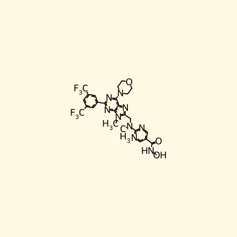 CN(Cc1nc2c(N3CCOCC3)nc(-c3cc(C(F)(F)F)cc(C(F)(F)F)c3)nc2n1C)c1ncc(C(=O)NO)cn1